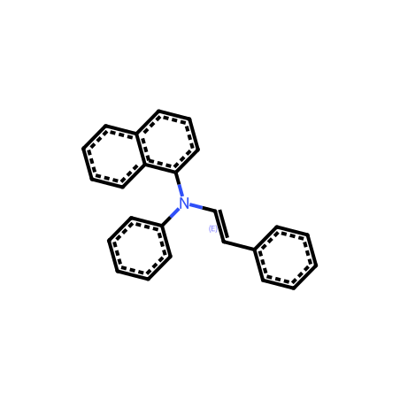 C(=C\N(c1ccccc1)c1cccc2ccccc12)/c1ccccc1